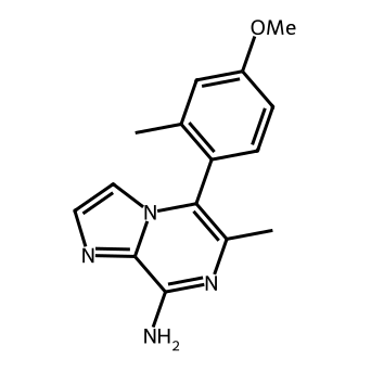 COc1ccc(-c2c(C)nc(N)c3nccn23)c(C)c1